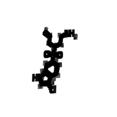 C=CCN(CCN)S(=O)(=O)c1ccc2c(Cl)c[nH]c2c1